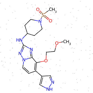 COCCOc1c(-c2cn[nH]c2)ccn2nc(NC3CCN(S(C)(=O)=O)CC3)nc12